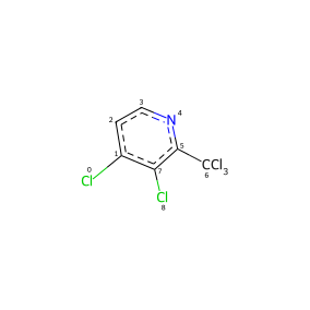 Clc1ccnc(C(Cl)(Cl)Cl)c1Cl